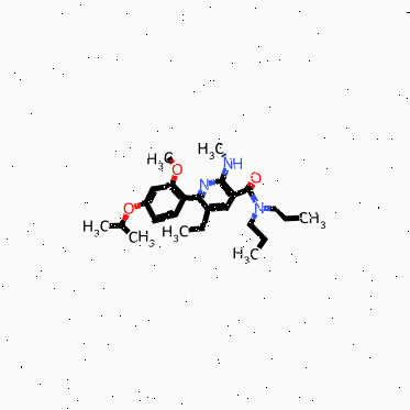 CCCN(CCC)C(=O)c1cc(CC)c(-c2ccc(OC(C)C)cc2OC)nc1NC